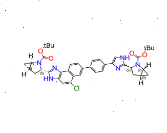 CC(C)(C)OC(=O)N1[C@@H]2C[C@@H]2C[C@H]1c1nc(-c2ccc(-c3ccc4c(c3)c(Cl)cc3[nH]c([C@@H]5C[C@H]6C[C@H]6N5C(=O)OC(C)(C)C)nc34)cc2)c[nH]1